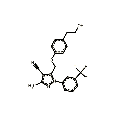 Cc1nn(-c2cccc(C(F)(F)F)c2)c(COc2ccc(CCO)cc2)c1C#N